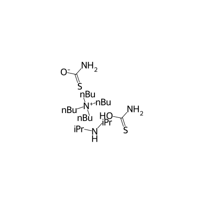 CC(C)NC(C)C.CCCC[N+](CCCC)(CCCC)CCCC.NC(O)=S.NC([O-])=S